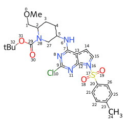 COCC1CCC(Nc2nc(Cl)nc3c2ccn3S(=O)(=O)c2ccc(C)cc2)CN1C(=O)OC(C)(C)C